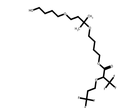 CC(C)(CCOCCCCO)OCCCCOC(=O)C(OCCC(F)(F)F)C(F)(F)F